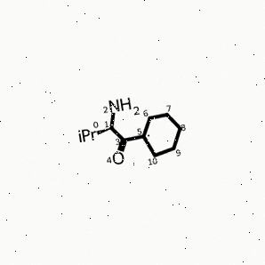 CC(C)[C@@H](N)C(=O)[C]1CCCCC1